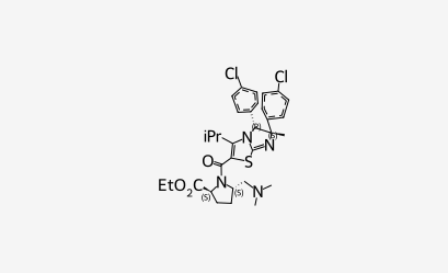 CCOC(=O)[C@@H]1CC[C@@H](CN(C)C)N1C(=O)C1=C(C(C)C)N2C(=N[C@@](C)(c3ccc(Cl)cc3)[C@H]2c2ccc(Cl)cc2)S1